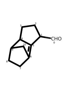 O=CC1CCC2C1=C1CCC2C1